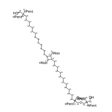 CCCCCCCCCC1C(CCCCCCCCCCCCCCC(CO)(CCCCC)CCCCC)C(CCCCCCCCC)C1CCCCCCCCCCCCCCC(CCCCC)(CCCCC)CCCC(CO)(CCCCC)CCCCC